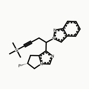 C[Si](C)(C)C#CCC(c1ncn2c1C[C@@H](F)C2)n1cc2ccccc2n1